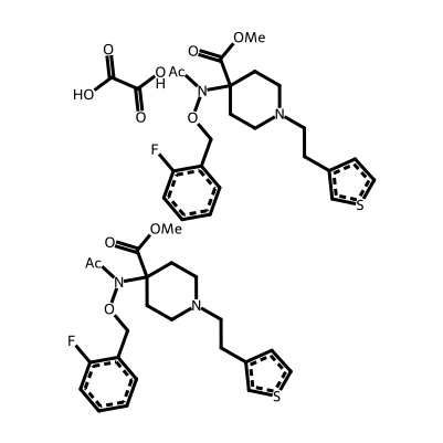 COC(=O)C1(N(OCc2ccccc2F)C(C)=O)CCN(CCc2ccsc2)CC1.COC(=O)C1(N(OCc2ccccc2F)C(C)=O)CCN(CCc2ccsc2)CC1.O=C(O)C(=O)O